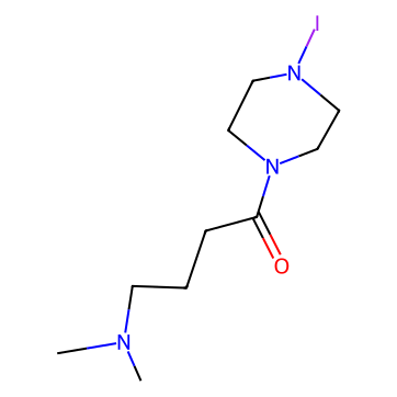 CN(C)CCCC(=O)N1CCN(I)CC1